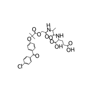 CC(NC(=O)COC(=O)C(C)(C)Oc1ccc(C(=O)c2ccc(Cl)cc2)cc1)C(=O)NC(CCC(=O)O)C(=O)O